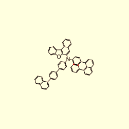 c1ccc(-c2cccc3cccc(-c4ccc(N(c5ccc(-c6ccc(-c7cccc8ccccc78)cc6)cc5)c5cc6ccccc6c6c5oc5ccccc56)cc4)c23)cc1